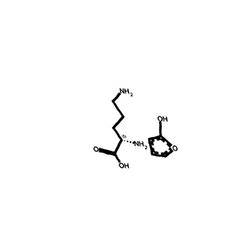 NCCC[C@H](N)C(=O)O.Oc1ccco1